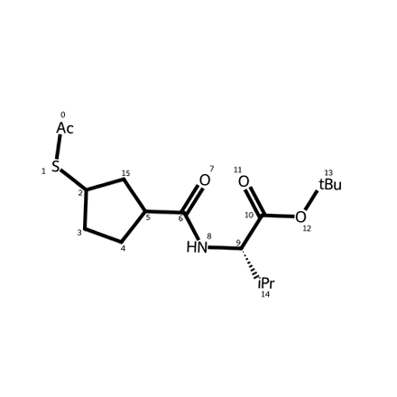 CC(=O)SC1CCC(C(=O)N[C@H](C(=O)OC(C)(C)C)C(C)C)C1